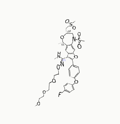 CN/C(=N\OCCOCCOCCOC)c1c(-c2ccc(Oc3ccc(F)cc3)cc2)oc2cc3c(cc12)[C@H](C)O[C@H](CS(C)(=O)=O)CN3S(C)(=O)=O